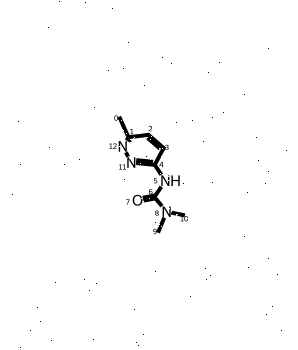 Cc1ccc(NC(=O)N(C)C)nn1